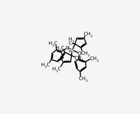 CC1=C[C](C)([Zr]([O]c2ccc(C)cc2C)([O]c2ccc(C)cc2C)[C]2(C)C=C(C)C=C2C)C(C)=C1